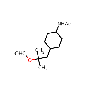 CC(=O)NC1CCC(CC(C)(C)O[C]=O)CC1